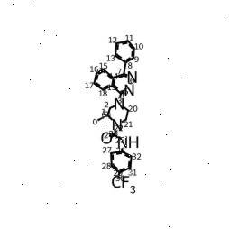 C[C@H]1CN(c2nnc(-c3ccccc3)c3ccccc23)CCN1C(=O)Nc1ccc(C(F)(F)F)cc1